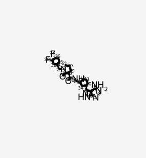 Nc1ncnc2[nH]nc(-c3cccc(CNC(=O)c4cccn(Cc5ccc(F)c(F)c5)c4=O)c3)c12